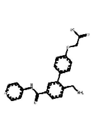 NCc1ccc(C(=O)Nc2ccncc2)cc1-c1ccc(OCC(=O)S)cc1